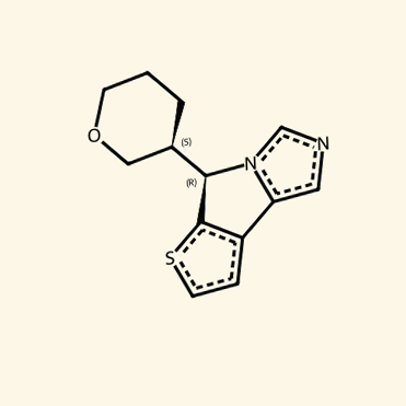 c1cc2c(s1)[C@@H]([C@@H]1CCCOC1)n1cncc1-2